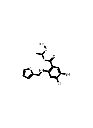 CC(OC=O)SC(=O)c1cc(S)c(Cl)cc1NCc1ccco1